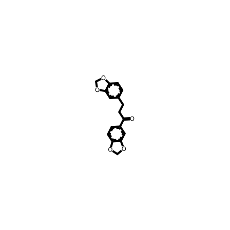 O=C(CCc1ccc2c(c1)OCO2)c1ccc2c(c1)OCO2